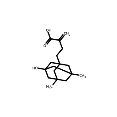 C=C(CCC12CC3(C)CC(C)(CC(O)(C3)C1)C2)C(=O)O